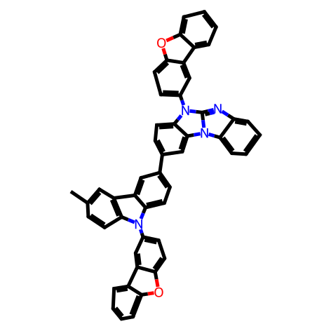 Cc1ccc2c(c1)c1cc(-c3ccc4c(c3)n3c5ccccc5nc3n4-c3ccc4oc5ccccc5c4c3)ccc1n2-c1ccc2oc3ccccc3c2c1